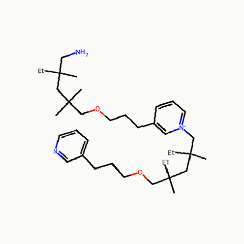 CCC(C)(CN)CC(C)(C)COCCCc1ccc[n+](CC(C)(CC)CC(C)(CC)COCCCc2cccnc2)c1